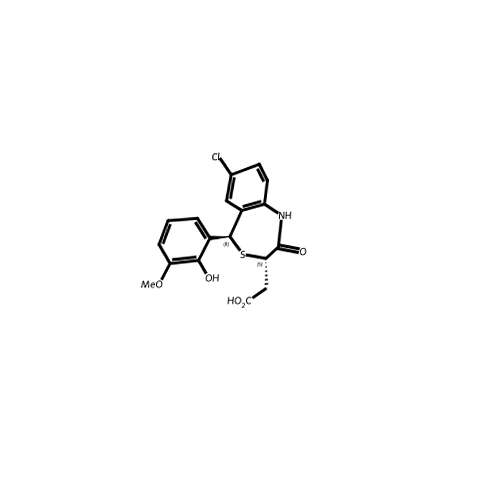 COc1cccc([C@@H]2S[C@@H](CC(=O)O)C(=O)Nc3ccc(Cl)cc32)c1O